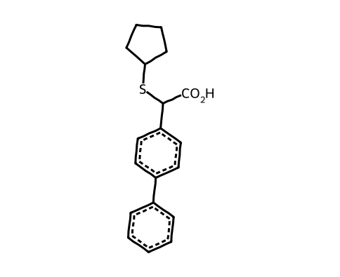 O=C(O)C(SC1CCCC1)c1ccc(-c2ccccc2)cc1